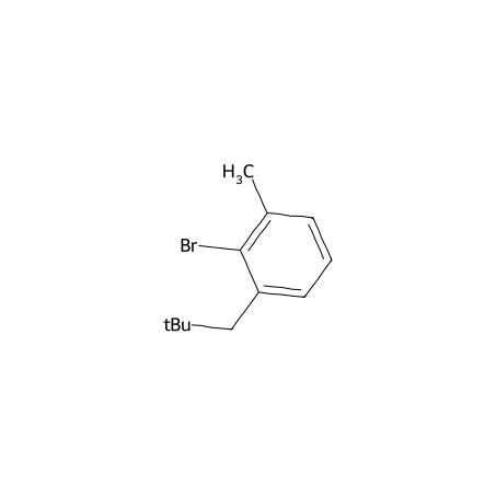 Cc1cccc(CC(C)(C)C)c1Br